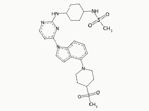 CS(=O)(=O)NC1CCC(Nc2nccc(-n3ccc4c(N5CCC(S(C)(=O)=O)CC5)cccc43)n2)CC1